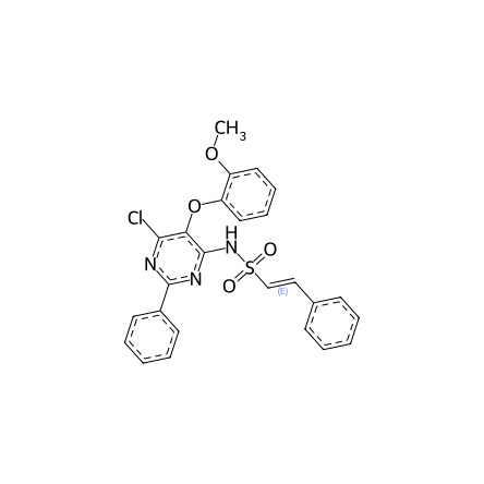 COc1ccccc1Oc1c(Cl)nc(-c2ccccc2)nc1NS(=O)(=O)/C=C/c1ccccc1